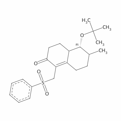 CC1CCC2=C(CS(=O)(=O)c3ccccc3)C(=O)CCC2[C@@H]1OC(C)(C)C